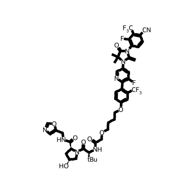 C=C1N(c2ccc(C#N)c(C(F)(F)F)c2F)C(=O)C(C)(C)N1c1cnc(-c2ccc(OCCCCOCC(=O)N[C@H](C(=O)N3C[C@H](O)C[C@H]3C(=O)NCc3cnco3)C(C)(C)C)cc2C(F)(F)F)c(F)c1